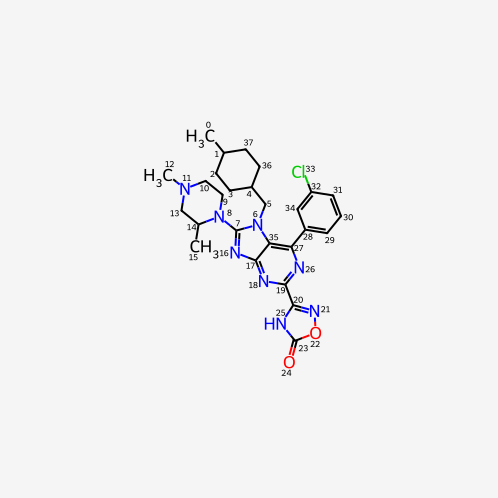 CC1CCC(Cn2c(N3CCN(C)CC3C)nc3nc(-c4noc(=O)[nH]4)nc(-c4cccc(Cl)c4)c32)CC1